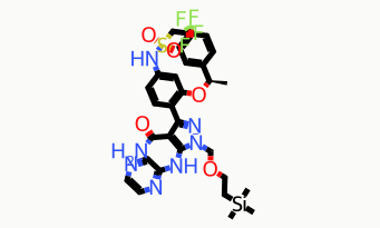 C[C@@H](Oc1cc(NS(=O)(=O)CC(F)(F)F)ccc1-c1nn(COCC[Si](C)(C)C)c(Nc2cnccn2)c1C(N)=O)c1ccc(F)cc1